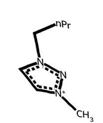 CCCCn1cc[n+](C)n1